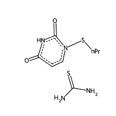 CCCSn1ccc(=O)[nH]c1=O.NC(N)=S